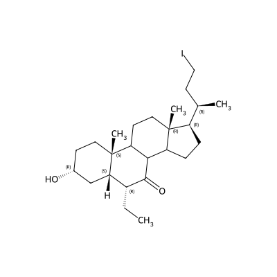 CC[C@H]1C(=O)C2C3CC[C@H]([C@H](C)CCI)[C@@]3(C)CCC2[C@@]2(C)CC[C@@H](O)C[C@@H]12